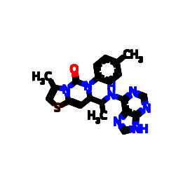 CC1=CSC2=CC(C(C)Nc3ncnc4[nH]cnc34)N(c3ccc(C)cc3)C(=O)N12